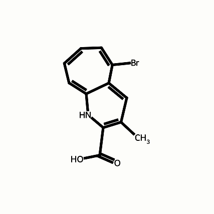 CC1=C(C(=O)O)NC2=CC=CC=C(Br)C2=C1